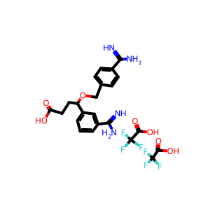 N=C(N)c1ccc(COC(CCC(=O)O)c2cccc(C(=N)N)c2)cc1.O=C(O)C(F)(F)F.O=C(O)C(F)(F)F